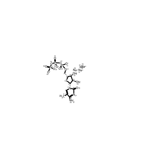 Cc1cn([C@@H]2S[C@H](COP(=O)([O-])OP(=O)([O-])OP(=O)([O-])[O-])[C@@H](O)[C@H]2O)c(=O)nc1N.[Na+].[Na+].[Na+].[Na+]